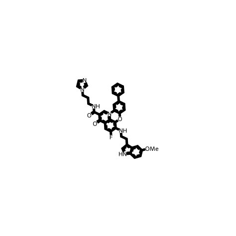 COc1ccc2[nH]cc(CCNc3c(F)cc4c(=O)c(C(=O)NCCCn5ccnc5)cn5c4c3Oc3ccc(-c4ccccc4)cc3-5)c2c1